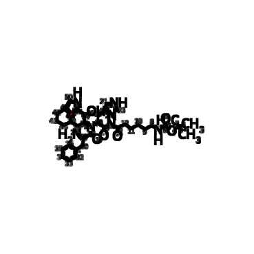 CC(C)(C)OC(=O)NCCCCCC(=O)NC(=O)[C@H](Cc1c[nH]cn1)N(C(=O)[C@@H](N)Cc1ccccc1)[C@@H](CC1CCCCC1)[C@@H](O)c1ncc[nH]1